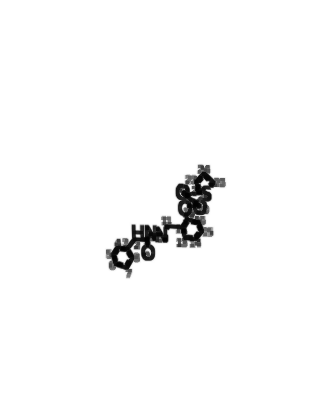 O=C(Cc1ccccc1)NN=Cc1ccccc1OS(=O)(=O)c1cccs1